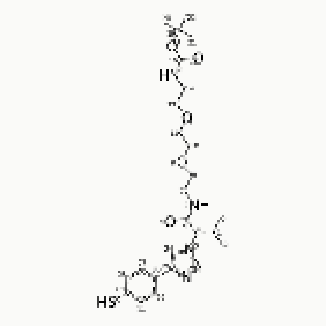 CC(C)[C@@H](C(=O)NCCOCCOCCNC(=O)OC(C)(C)C)n1cc(-c2ccc(S)cc2)nn1